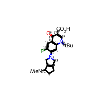 CNC1CCC2=C1CN(c1cc3c(cc1F)c(=O)c(C(=O)O)cn3C(C)(C)C)C2